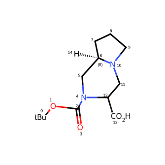 CC(C)(C)OC(=O)N1C[C@H]2CCCN2CC1C(=O)O